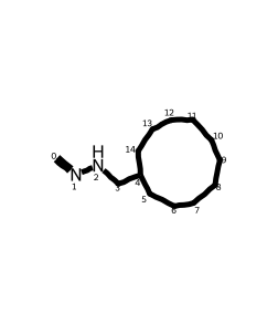 C=NNCC1CCCCCCCCCC1